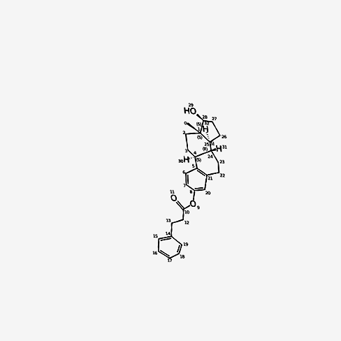 C[C@]12CC[C@@H]3c4ccc(OC(=O)CCc5ccccc5)cc4CC[C@H]3[C@@H]1CC[C@@H]2O